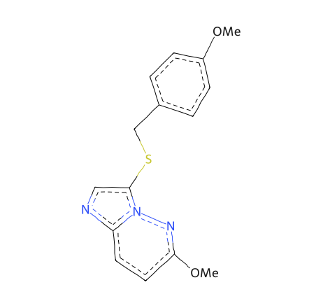 COc1ccc(CSc2cnc3ccc(OC)nn23)cc1